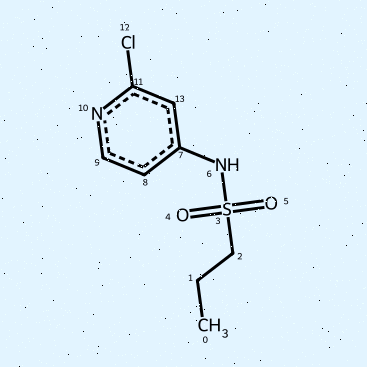 CCCS(=O)(=O)Nc1ccnc(Cl)c1